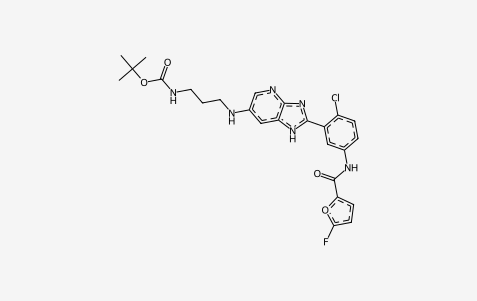 CC(C)(C)OC(=O)NCCCNc1cnc2nc(-c3cc(NC(=O)c4ccc(F)o4)ccc3Cl)[nH]c2c1